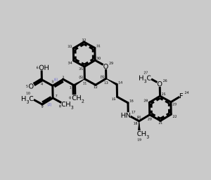 C=C(/C=C(C(=O)O)\C(C)=C/C)[C@@H]1C[C@H](CCCN[C@H](C)c2ccc(F)c(OC)c2)Oc2ccccc21